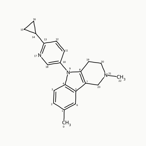 Cc1ccc2c(c1)c1c(n2-c2ccc(C3CC3)nc2)CCN(C)C1